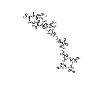 CCC(=O)NCCNC(=O)/N=C(/N)NCCC[C@@H](NC(=O)[C@@H](c1ccccc1)c1cccc(OCCCCNc2c(NCCONC(=O)CN3CCN(CC(=O)O)CCN(CC(=O)O)CCN(CC(=O)O)CC3)c(=O)c2=O)c1)C(=O)NCc1c(F)cc(O)cc1F